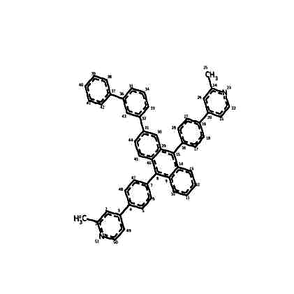 Cc1cc(-c2ccc(-c3c4ccccc4c(-c4ccc(-c5ccnc(C)c5)cc4)c4cc(-c5cccc(-c6ccccc6)c5)ccc34)cc2)ccn1